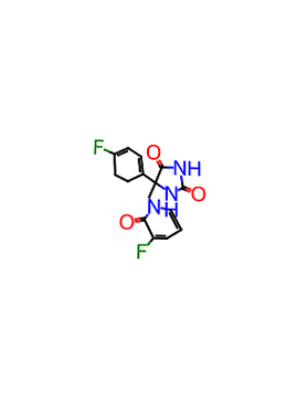 O=C1NC(=O)C(Cn2cccc(F)c2=O)(C2=CC=C(F)CC2)N1